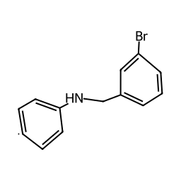 Brc1cccc(CNc2cc[c]cc2)c1